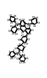 c1ccc(N(c2ccc(-c3ccc(-c4ccc5c6c4ccc4c(N(c7ccccc7)c7ccccc7)ccc(c46)n5-c4ccccc4)cc3)cc2)c2ccccn2)cc1